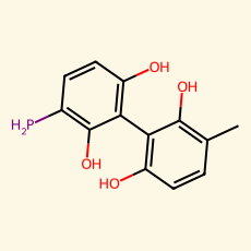 Cc1ccc(O)c(-c2c(O)ccc(P)c2O)c1O